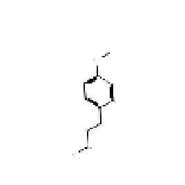 COc1[c]cc(CCCBr)cc1